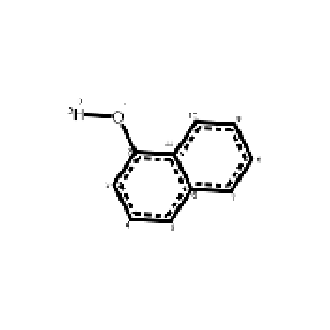 [2H]Oc1cccc2ccccc12